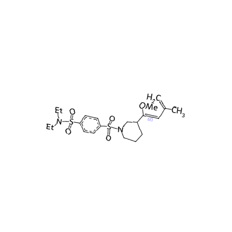 C=C(C)/C=C(\OC)C1CCCN(S(=O)(=O)c2ccc(S(=O)(=O)N(CC)CC)cc2)C1